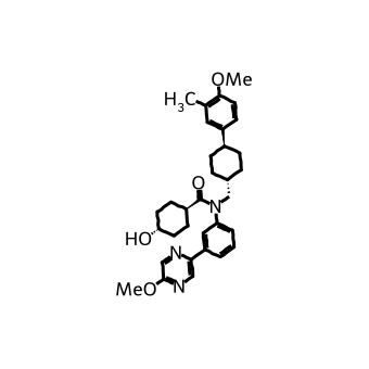 COc1cnc(-c2cccc(N(C[C@H]3CC[C@H](c4ccc(OC)c(C)c4)CC3)C(=O)[C@H]3CC[C@H](O)CC3)c2)cn1